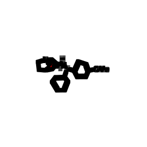 COc1ccc(N(NC2CC3CCN(C2)C3C(=O)O)c2ccccc2)cc1